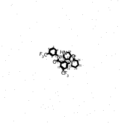 O=C(Nc1cccc(C(F)(F)F)c1)c1cc(C(F)(F)F)cc([N+]2(C3CCNCC3)CCCCC2=O)c1